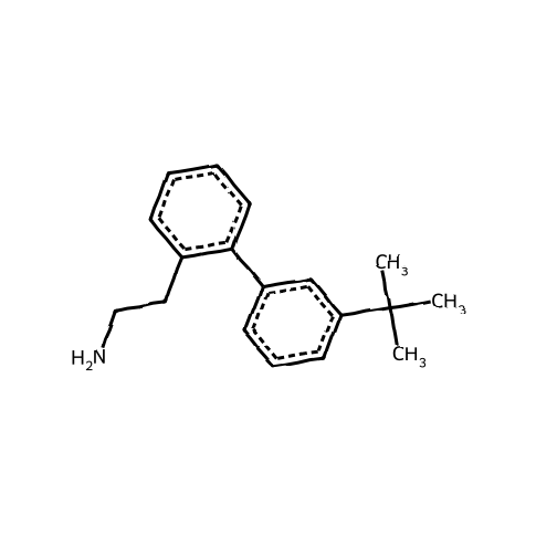 CC(C)(C)c1cccc(-c2ccccc2CCN)c1